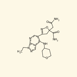 CCn1ncc2c(NC3CCOCC3)c(C3=NOC(CC(N)=O)(C(N)=O)C3)cnc21